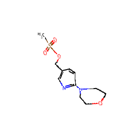 CS(=O)(=O)OCc1ccc(N2CCOCC2)nc1